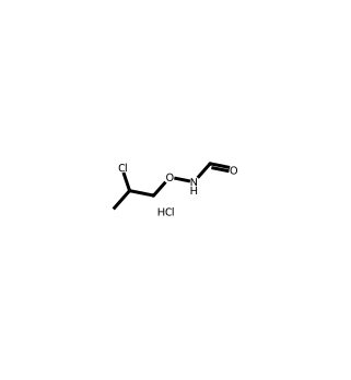 CC(Cl)CONC=O.Cl